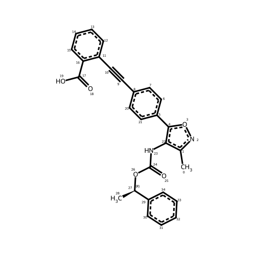 Cc1noc(-c2ccc(C#Cc3ccccc3C(=O)O)cc2)c1NC(=O)O[C@H](C)c1ccccc1